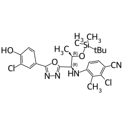 Cc1c(N[C@@H](c2nnc(-c3ccc(O)c(Cl)c3)o2)[C@@H](C)O[Si](C)(C)C(C)(C)C)ccc(C#N)c1Cl